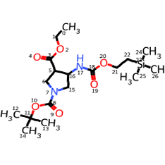 CCOC(=O)C1CN(C(=O)OC(C)(C)C)CC1NC(=O)OCC[Si](C)(C)C